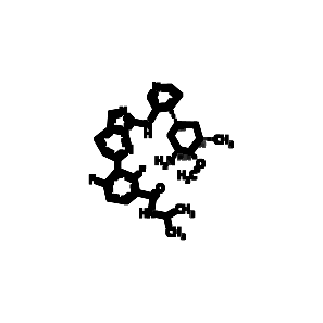 CO[C@@H]1[C@H](N)C[C@H](c2ccncc2Nc2ncc3ccc(-c4c(F)ccc(C(=O)NC(C)C)c4F)nn23)C[C@@H]1C